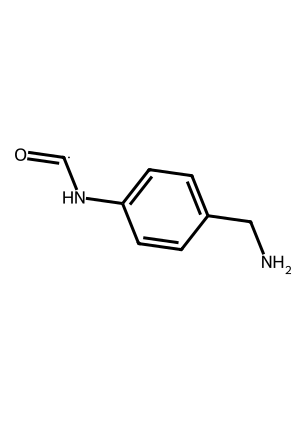 NCc1ccc(N[C]=O)cc1